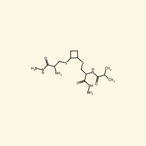 BBC(=O)C(N)CSC1CCC1SCC(NC(=O)C(C)C)C(=O)BB